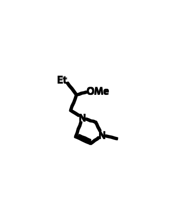 CCC(CN1C=CN(C)C1)OC